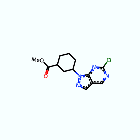 COC(=O)C1CCCC(n2ncc3cnc(Cl)nc32)C1